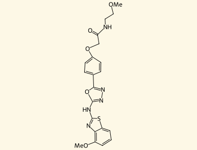 COCCNC(=O)COc1ccc(-c2nnc(Nc3nc4c(OC)cccc4s3)o2)cc1